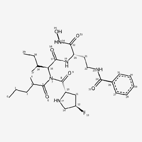 CCCC(C)C(=O)N(C(=O)[C@@H]1C[C@@H](F)CN1)[C@H](C(=O)N[C@@H](CCNC(=O)c1ccccc1)C(=O)NO)C(C)CC